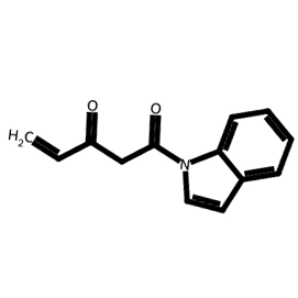 C=CC(=O)CC(=O)n1ccc2ccccc21